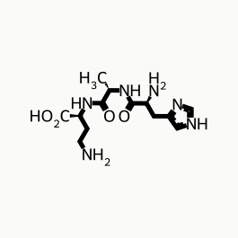 C[C@H](NC(=O)[C@@H](N)Cc1c[nH]cn1)C(=O)N[C@@H](CCN)C(=O)O